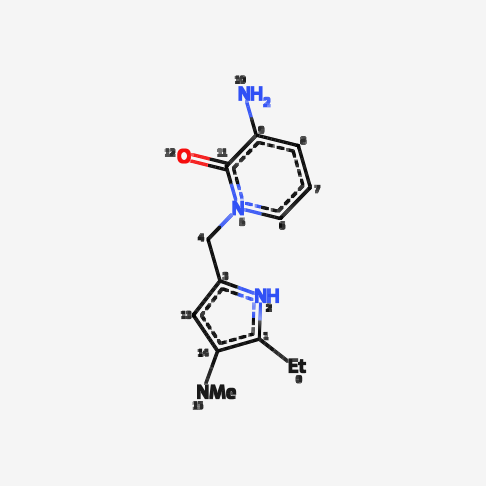 CCc1[nH]c(Cn2cccc(N)c2=O)cc1NC